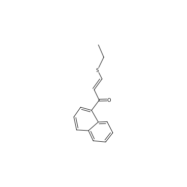 CCSC=CC(=O)c1cccc2ccccc12